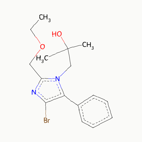 CCOCc1nc(Br)c(-c2ccccc2)n1CC(C)(C)O